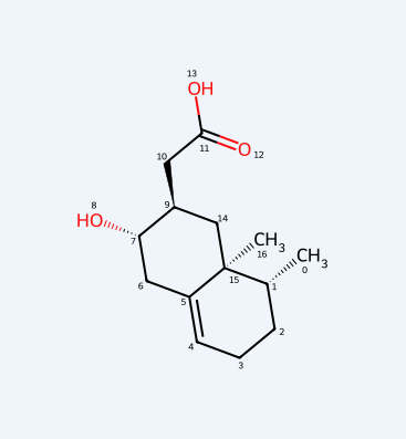 C[C@@H]1CCC=C2C[C@H](O)[C@@H](CC(=O)O)C[C@]21C